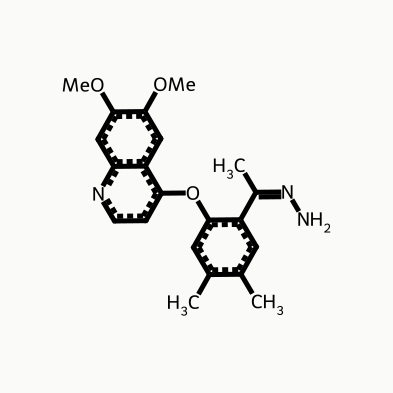 COc1cc2nccc(Oc3cc(C)c(C)cc3/C(C)=N\N)c2cc1OC